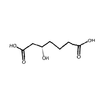 O=C(O)CCC[C@H](O)CC(=O)O